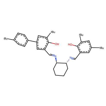 CCC(C)c1ccc(-c2cc(/C=N/[C@@H]3CCCC[C@H]3/N=C/c3cc(C(C)(C)C)cc(C(C)(C)C)c3O)c(O)c(C(C)(C)C)c2)cc1